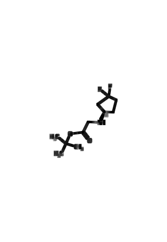 CC(C)(C)OC(=O)CN[C@@H]1CCC(F)(F)C1